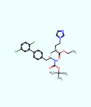 CCOC(=O)[C@H](CCn1ccnc1)C[C@@H](Cc1ccc(-c2cc(Cl)ccc2F)cc1)NC(=O)OC(C)(C)C